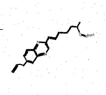 C=CCc1ccc2nc(/C=C/CCCC(C)OCCCCC)cnc2c1